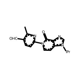 Cc1nc(-n2ccc3c(ncn3C(C)C)c2=O)ccc1C=O